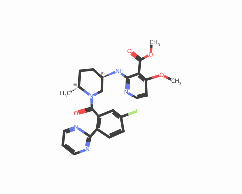 COC(=O)c1c(OC)ccnc1N[C@@H]1CC[C@@H](C)N(C(=O)c2cc(F)ccc2-c2ncccn2)C1